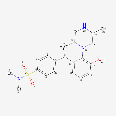 CCN(CC)S(=O)(=O)c1ccc(Cc2cccc(O)c2N2CC(C)NCC2C)cc1